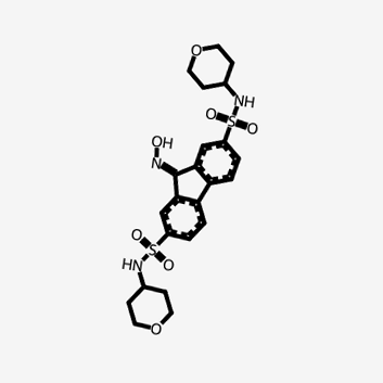 O=S(=O)(NC1CCOCC1)c1ccc2c(c1)C(=NO)c1cc(S(=O)(=O)NC3CCOCC3)ccc1-2